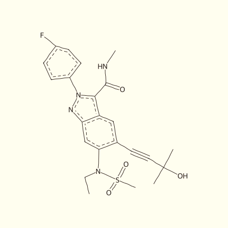 CCN(c1cc2nn(-c3ccc(F)cc3)c(C(=O)NC)c2cc1C#CC(C)(C)O)S(C)(=O)=O